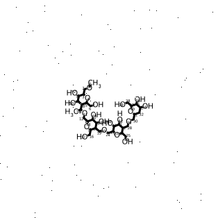 COCC1OC(CO)C(C(C)OCC2OC(CO)C(COCC3OC(CO)C(COCC4CC(O)C(O)C(CO)O4)C(O)C3O)C(O)C2O)C(O)C1O